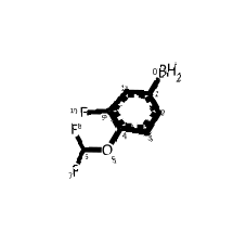 Bc1ccc(OC(F)F)c(F)c1